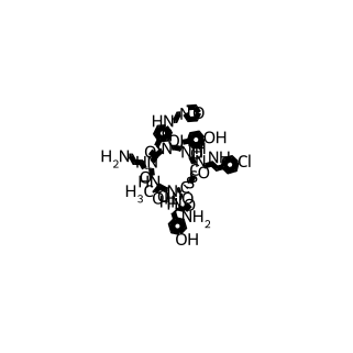 C[C@@H](O)[C@@H]1NC(=O)[C@H](CCCCN)NC(=O)[C@@H](Cc2ccc(NCCN3CCOCC3)cc2)NC(O)[C@H](Cc2ccc(O)cc2)NC(=O)[C@H](NC(=O)[C@@H](N)Cc2ccc(Cl)cc2)CSSC[C@@H](C(=O)N[C@H](Cc2ccc(O)cc2)C(N)=O)NC1=O